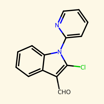 O=Cc1c(Cl)n(-c2ccccn2)c2ccccc12